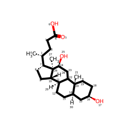 C[C@H](CCC(=O)O)[C@H]1CC[C@H]2[C@@H]3CC[C@@H]4C[C@H](O)CC[C@]4(C)C3C[C@H](O)[C@]12C